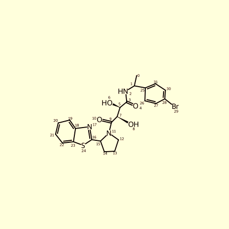 CC(NC(=O)[C@H](O)[C@@H](O)C(=O)N1CCCC1c1nc2ccccc2s1)c1ccc(Br)cc1